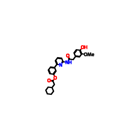 COc1cc(CC(=O)Nc2cccc(-c3cccc(OC(=O)CC4CCCCC4)c3)n2)ccc1O